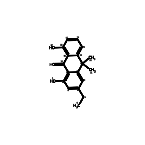 CCc1cc(O)c2c(c1)C(C)(C)c1cccc(O)c1C2=O